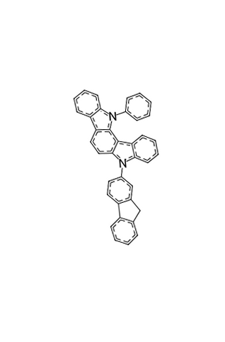 c1ccc(-n2c3ccccc3c3ccc4c(c5ccccc5n4-c4ccc5c(c4)Cc4ccccc4-5)c32)cc1